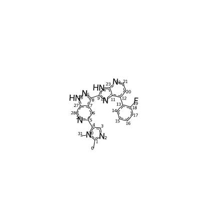 Cc1ncc(-c2cc3c(-c4nc5c(-c6ccccc6F)ccnc5[nH]4)n[nH]c3cn2)n1C